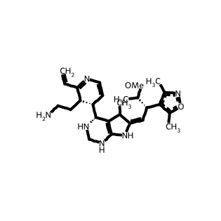 C=CC1=NC=C[C@H]([C@H]2NCNC3=C2C(C)/C(=C\[C@@H](c2c(C)noc2C)C(C)OC)N3)C1CCN